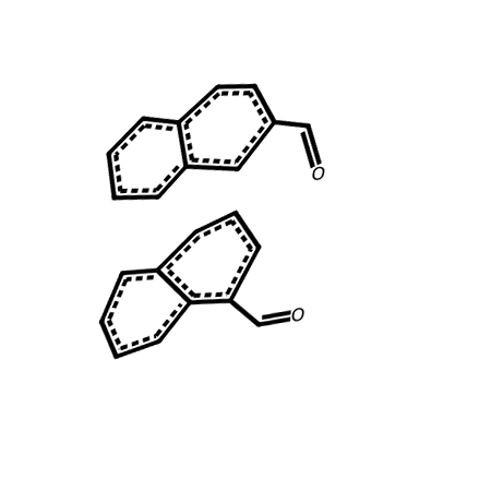 O=Cc1ccc2ccccc2c1.O=Cc1cccc2ccccc12